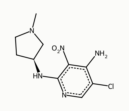 CN1CC[C@H](Nc2ncc(Cl)c(N)c2[N+](=O)[O-])C1